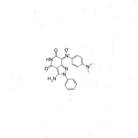 CN(C)c1ccc(/[N+]([O-])=C2/C(=O)NC(=O)c3c2nn(-c2ccccc2)c3N)cc1